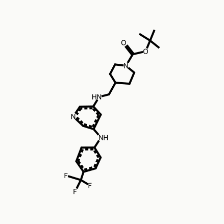 CC(C)(C)OC(=O)N1CCC(CNc2cncc(Nc3ccc(C(F)(F)F)cc3)c2)CC1